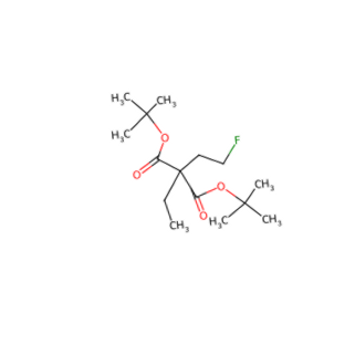 CCC(CCF)(C(=O)OC(C)(C)C)C(=O)OC(C)(C)C